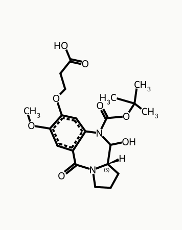 COc1cc2c(cc1OCCC(=O)O)N(C(=O)OC(C)(C)C)C(O)[C@@H]1CCCN1C2=O